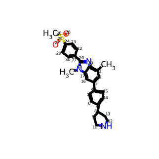 Cc1cc(-c2ccc(C3CCNCC3)cc2)cc2c1nc(-c1ccc(S(C)(=O)=O)cc1)n2C